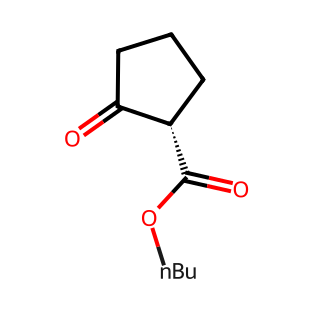 CCCCOC(=O)[C@H]1CCCC1=O